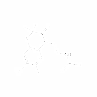 CCC(=O)NCCN1C(=O)C(C)(C)Sc2cc(C(F)(F)F)c(C)cc21